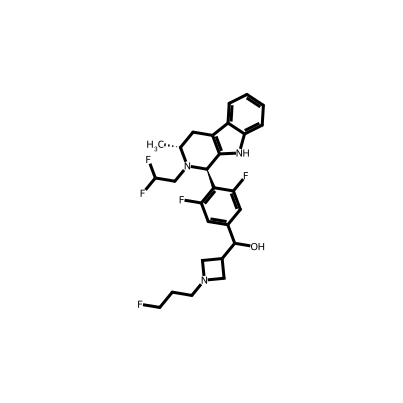 C[C@@H]1Cc2c([nH]c3ccccc23)[C@@H](c2c(F)cc(C(O)C3CN(CCCF)C3)cc2F)N1CC(F)F